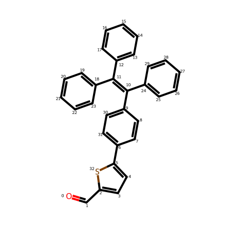 O=Cc1ccc(-c2ccc(C(=C(c3ccccc3)c3ccccc3)c3ccccc3)cc2)s1